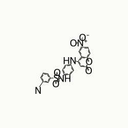 N#Cc1cccc(S(=O)(=O)Nc2ccc(Nc3cc(=O)oc4ccc([N+](=O)[O-])cc34)cc2)c1